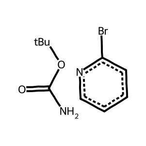 Brc1ccccn1.CC(C)(C)OC(N)=O